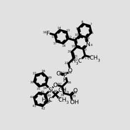 CC(C)c1nc2ccccc2c(-c2ccc(F)cc2)c1C=CCO[PH](=O)CC(CC(=O)O)O[Si](c1ccccc1)(c1ccccc1)C(C)(C)C